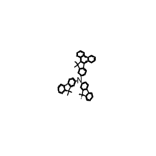 CC1(C)c2ccccc2-c2ccc(N(c3ccc4c(c3)C(C)(C)c3ccccc3-4)c3ccc4c(c3)C(C)(C)c3c-4c4ccccc4c4ccccc34)cc21